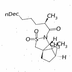 CCCCCCCCCCCCC[C@@H](C)C(=O)N1[C@@H]2C[C@H]3CC[C@]2(CS1(=O)=O)C3(C)C